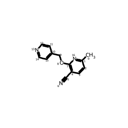 Cc1ccc(C#N)c(OCc2ccncc2)n1